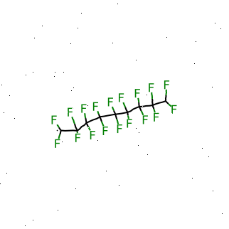 F[C](F)C(F)(F)C(F)(F)C(F)(F)C(F)(F)C(F)(F)C(F)(F)C(F)(F)C(F)F